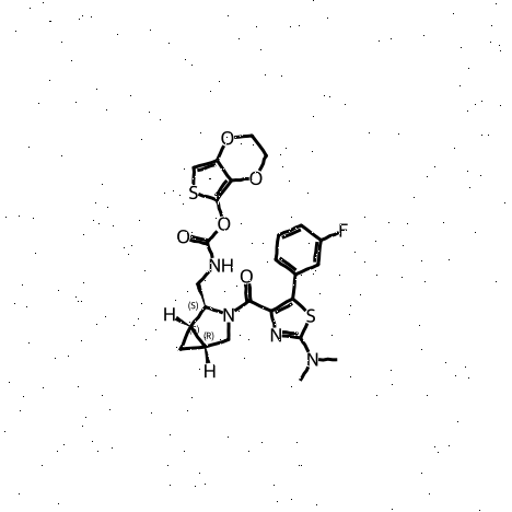 CN(C)c1nc(C(=O)N2C[C@@H]3C[C@@H]3[C@H]2CNC(=O)Oc2scc3c2OCCO3)c(-c2cccc(F)c2)s1